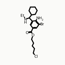 CCNC(c1cc(C(=O)OCCCCCCl)cc(Br)c1N)C1CCCCC1